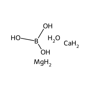 O.OB(O)O.[CaH2].[MgH2]